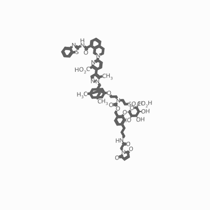 Cc1c(-c2ccc(N3CCc4cccc(C(=O)Nc5nc6ccccc6s5)c4C3)nc2C(=O)O)cnn1CC12CC3(C)CC(C)(C1)CC(OCCN(CCS(=O)(=O)O)C(=O)OCc1ccc(CCCNC(=O)CN4C(=O)C=CC4=O)cc1O[C@@H]1O[C@H](C(=O)O)[C@@H](O)[C@H](O)[C@H]1O)(C3)C2